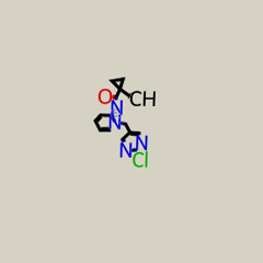 C#CC1(C(=O)/N=c2\ccccn2Cc2cnc(Cl)nc2)CC1